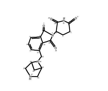 O=C1CCC(N2C(=O)c3cccc(CN4C5CNCC4C5)c3C2=O)C(=O)N1